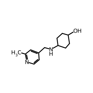 Cc1cc(CNC2CCC(O)CC2)ccn1